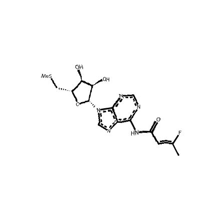 CSC[C@H]1O[C@@H](n2cnc3c(NC(=O)/C=C(/C)F)ncnc32)[C@H](O)[C@@H]1O